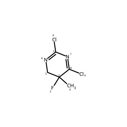 CC1(F)CN=C(Cl)N=C1Cl